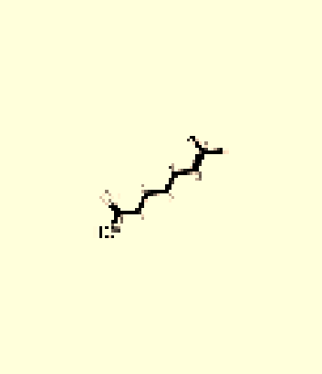 CC(C)=CCCCCC(=O)O